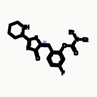 CCN(CC)C(=O)Oc1cc(F)ccc1/C=C1/SC(N2CCCCN2)=NC1=O